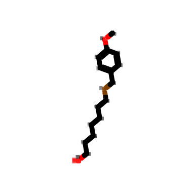 COc1ccc(CSCCCCCCCO)cc1